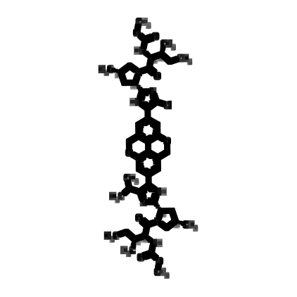 CC[C@H](C)[C@H](NC(=O)OC)C(=O)N1C[C@@H](C)C[C@H]1c1nc(Cl)c(-c2cc3c4c(c2)OCc2cc(-c5[nH]c([C@@H]6C[C@H](C)CN6C(=O)[C@@H](NC(=O)OC)[C@@H](C)CC)nc5C(C)C)cc(c2-4)OC3)[nH]1